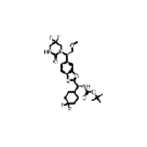 COC[C@@H](c1ccc2oc([C@@H](NC(=O)OC(C)(C)C)C3CCC(F)(F)CC3)nc2c1)N1CC(F)(F)CNC1=O